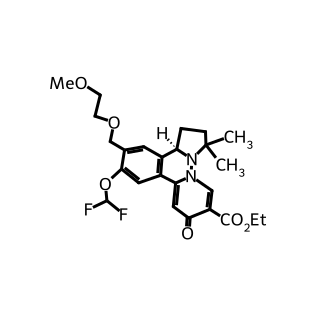 CCOC(=O)c1cn2c(cc1=O)-c1cc(OC(F)F)c(COCCOC)cc1[C@H]1CCC(C)(C)N12